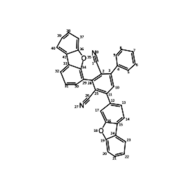 N#Cc1c(-c2ccccc2)cc(-c2ccc3c(c2)oc2ccccc23)c(C#N)c1-c1cccc2c1oc1ccccc12